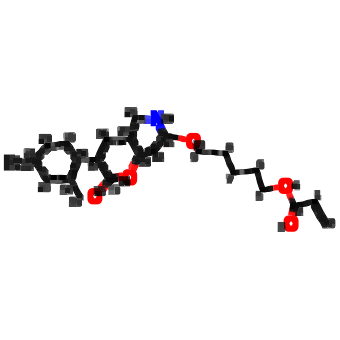 C=CC(=O)OCCCCCOc1cc2oc(=O)c(-c3ccc(CC)cc3C)cc2cn1